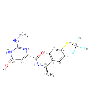 CNc1nc(C(=O)N[C@H](C)c2ccc(SC(F)(F)F)cc2)cc(=O)[nH]1